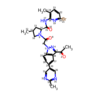 CC(=O)c1nn(CC(=O)N2C[C@@H](C)C[C@H]2C(=O)Nc2nc(Br)ccc2C)c2ccc(-c3cnc(C)nc3)cc12